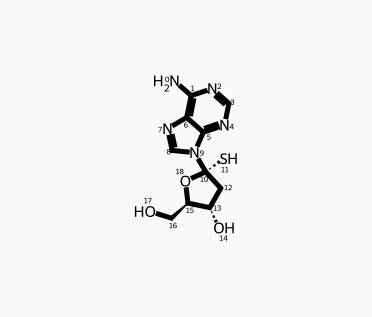 Nc1ncnc2c1ncn2[C@@]1(S)C[C@H](O)[C@@H](CO)O1